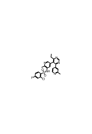 CCc1ncnc(-c2ccnc(C)c2)c1-c1cnc(C)c(NS(=O)(=O)c2ccc(F)cc2Cl)c1